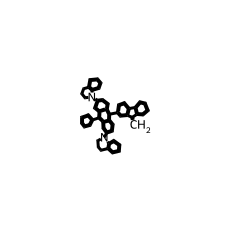 C=C1c2ccccc2-c2ccc(-c3c4ccc(N5CCCc6ccccc65)cc4c(-c4ccccc4)c4cc(N5CCCc6ccccc65)ccc34)cc21